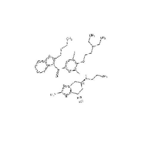 CCCCc1oc2ccccc2c1C(=O)c1cc(I)c(OCCN(CC)CC)c(I)c1.CCCN[C@H]1CCc2nc(N)sc2C1.Cl.Cl